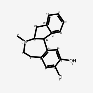 CN1CCc2cc(Cl)c(O)cc2C2c3ccccc3CC21